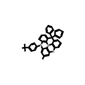 Cc1cc2c3c(c1)N(c1ccc(C(C)(C)C)cc1)c1cccc4c1B3c1c(cccc1C4(c1ccccc1)c1ccccc1)S2